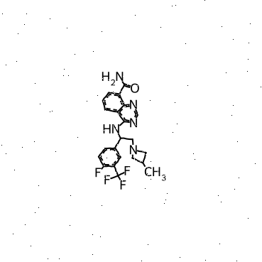 CC1CN(CC(Nc2ncnc3c(C(N)=O)cccc23)c2ccc(F)c(C(F)(F)F)c2)C1